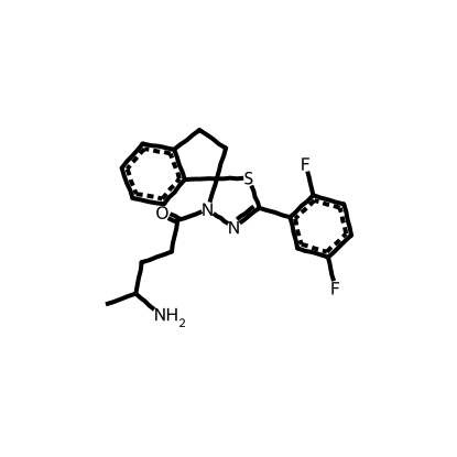 CC(N)CCC(=O)N1N=C(c2cc(F)ccc2F)SC12CCc1ccccc12